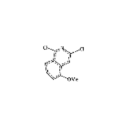 COc1cccc2c(Cl)nc(Cl)cc12